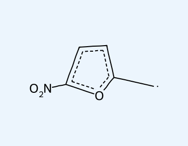 [CH2]c1ccc([N+](=O)[O-])o1